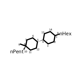 CCCCCCC1CCC([C@H]2CC[C@](C)(CCCCC)CC2)CC1